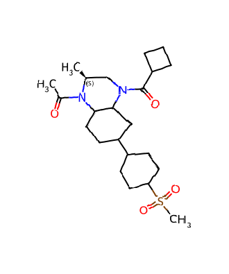 CC(=O)N1C2CCC(C3CCC(S(C)(=O)=O)CC3)CC2N(C(=O)C2CCC2)C[C@@H]1C